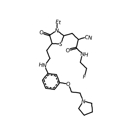 CCN1C(=O)C(CCNc2cccc(OCCN3CCCC3)c2)SC1CC(C#N)C(=O)NCCF